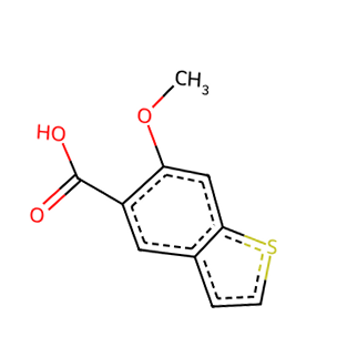 COc1cc2sccc2cc1C(=O)O